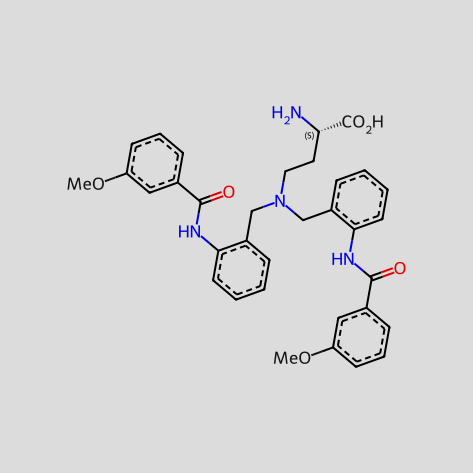 COc1cccc(C(=O)Nc2ccccc2CN(CC[C@H](N)C(=O)O)Cc2ccccc2NC(=O)c2cccc(OC)c2)c1